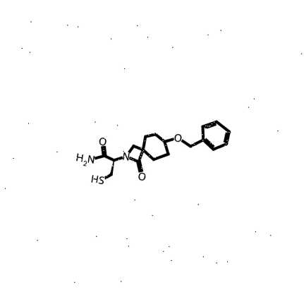 NC(=O)[C@H](CS)N1CC2(CCC(OCc3ccccc3)CC2)C1=O